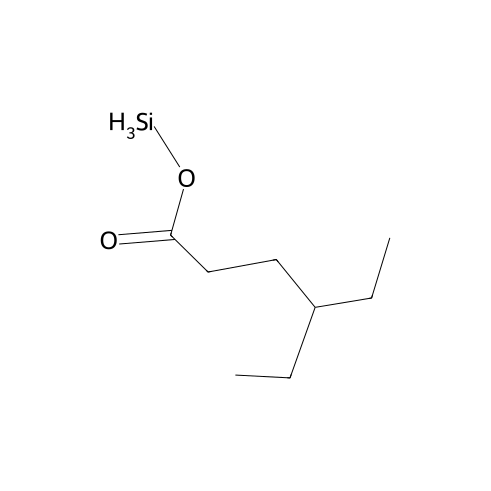 CCC(CC)CCC(=O)O[SiH3]